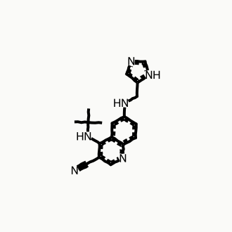 CC(C)(C)Nc1c(C#N)cnc2ccc(NCc3cnc[nH]3)cc12